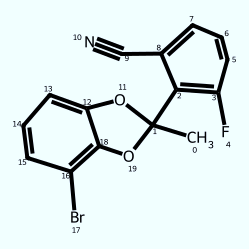 CC1(c2c(F)cccc2C#N)Oc2cccc(Br)c2O1